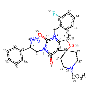 NC(Cn1c(=O)c2c(n(Cc3c(F)cccc3C(F)(F)F)c1=O)COC21CCN(C(=O)O)CC1)c1ccccc1